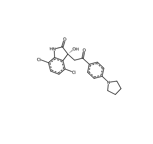 O=C(C[C@]1(O)C(=O)Nc2c(Cl)ccc(Cl)c21)c1ccc(N2CCCC2)cc1